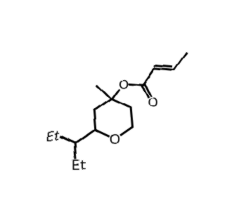 CC=CC(=O)OC1(C)CCOC(C(CC)CC)C1